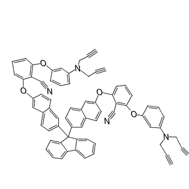 C#CCN(CC#C)c1cccc(Oc2cccc(Oc3ccc4cc(C5(c6ccc7cc(Oc8cccc(Oc9cccc(N(CC#C)CC#C)c9)c8C#N)ccc7c6)c6ccccc6-c6ccccc65)ccc4c3)c2C#N)c1